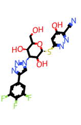 N#Cc1nnc(S[C@H]2OC(CO)[C@H](O)[C@H](n3cc(-c4cc(F)c(F)c(F)c4)nn3)C2O)cc1O